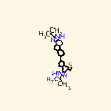 CCC(C)c1nc2c3ccsc3c3cc(-c4ccc5c6c(ccc5c4)-c4nc(C(C)C)[nH]c4CC6)ccc3c2[nH]1